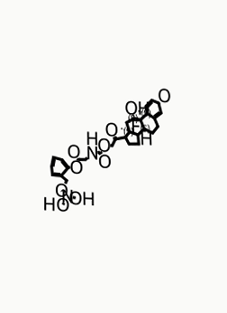 C[C@]12C[C@H](O)C3(F)[C@@H](CCC4=CC(=O)C=C[C@@]43C)C1CCC2C(=O)COC(=O)NCC(=O)Oc1ccccc1CON(O)O